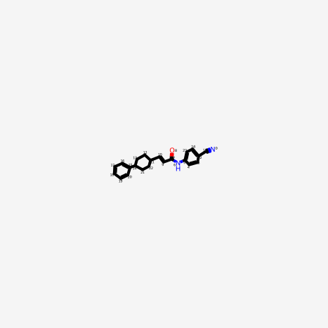 N#Cc1ccc(NC(=O)C=CC2CCC(c3ccccc3)CC2)cc1